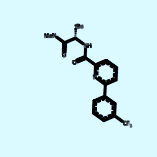 CNC(=O)[C@@H](NC(=O)c1cccc(-c2cccc(C(F)(F)F)c2)n1)C(C)(C)C